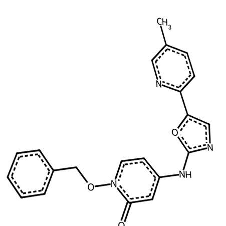 Cc1ccc(-c2cnc(Nc3ccn(OCc4ccccc4)c(=O)c3)o2)nc1